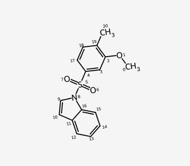 COc1cc(S(=O)(=O)n2ccc3ccccc32)ccc1C